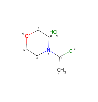 CC(Cl)N1CCOCC1.Cl